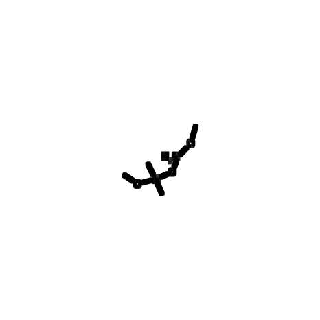 CO[SiH2]O[Si](C)(C)OC